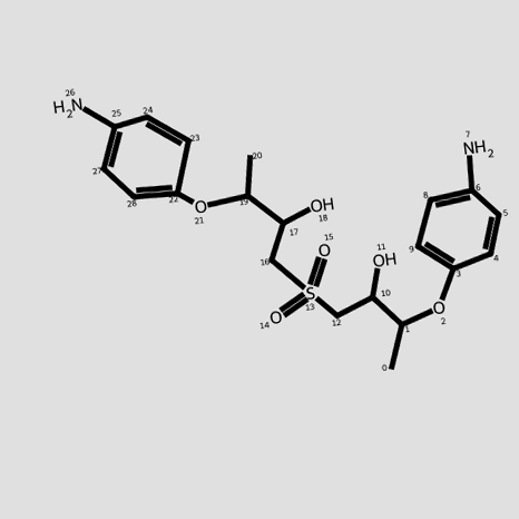 CC(Oc1ccc(N)cc1)C(O)CS(=O)(=O)CC(O)C(C)Oc1ccc(N)cc1